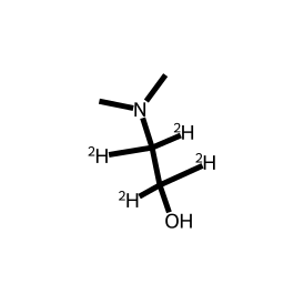 [2H]C([2H])(O)C([2H])([2H])N(C)C